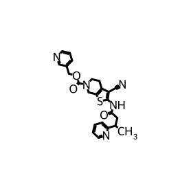 CC(CC(=O)Nc1sc2c(c1C#N)CCN(C(=O)OCc1cccnc1)C2)c1ccccn1